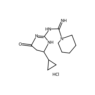 Cl.N=C(NC1=NC(=O)CC(C2CC2)N1)N1CCCCC1